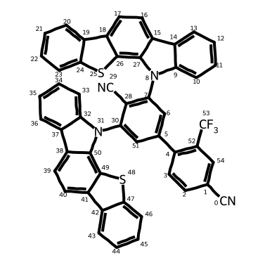 N#Cc1ccc(-c2cc(-n3c4ccccc4c4ccc5c6ccccc6sc5c43)c(C#N)c(-n3c4ccccc4c4ccc5c6ccccc6sc5c43)c2)c(C(F)(F)F)c1